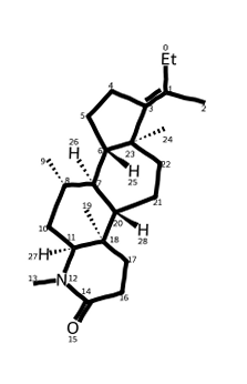 CCC(C)=C1CC[C@H]2[C@@H]3[C@@H](C)C[C@@H]4N(C)C(=O)CC[C@]4(C)[C@H]3CC[C@]12C